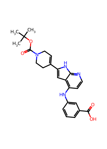 CC(C)(C)OC(=O)N1CC=C(c2cc3c(Nc4cccc(C(=O)O)c4)ccnc3[nH]2)CC1